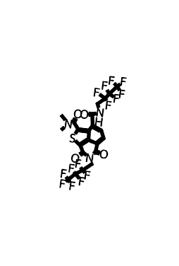 CN(C)C(=O)c1sc2c3c(ccc(C(=O)NCC(F)(F)C(F)(F)C(F)(F)F)c13)C(=O)N(CC(F)(F)C(F)(F)C(F)(F)F)C2=O